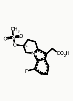 CS(=O)(=O)O[C@H]1CCc2c(CC(=O)O)c3cccc(F)c3n2C1